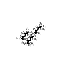 CC(C)(C)C(=O)CC(=O)C(C)(C)C.CC(C)(C)C(=O)CC(=O)C(C)(C)C.CC(C)(C)C(=O)CC(=O)C(C)(C)C.[Fe]